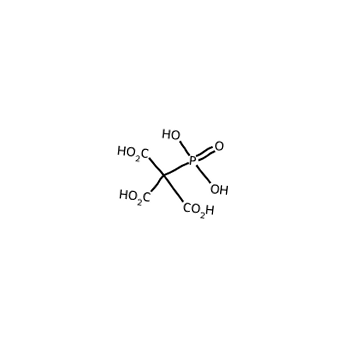 O=C(O)C(C(=O)O)(C(=O)O)P(=O)(O)O